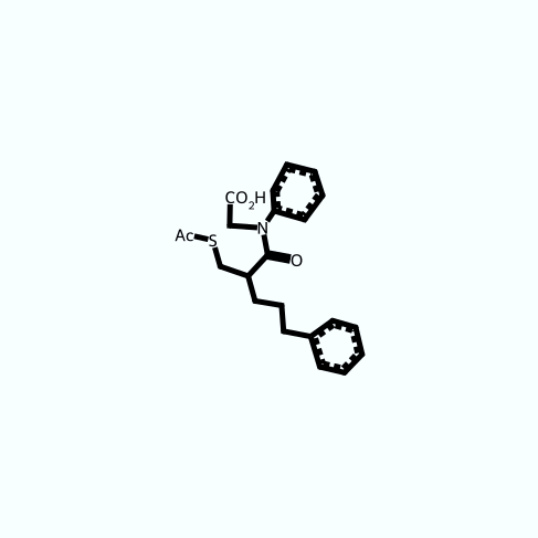 CC(=O)SCC(CCCc1ccccc1)C(=O)N(CC(=O)O)c1ccccc1